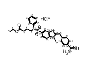 CCOC(=O)CCCN(c1ccccc1)S(=O)(=O)c1ccc2c(c1)nc(Cc1ccc(C(=N)N)cc1)n2C.Cl